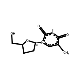 Cc1cn([C@H]2CCC(CO)O2)c(=O)[nH]c1=O